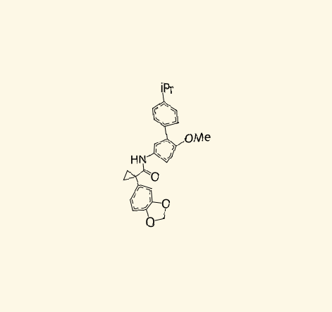 COc1ccc(NC(=O)C2(c3ccc4c(c3)OCO4)CC2)cc1-c1ccc(C(C)C)cc1